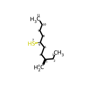 C=C(CC)CC[C@@H](S)CCCC